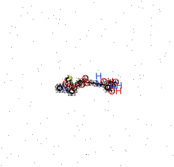 [CH2]C(=O)c1sccc1OC(=O)N(Cc1cccc(OCc2ccc(C(=O)OCCCCNC[C@H](O)c3ccc(O)c4[nH]c(=O)ccc34)o2)c1)c1ccccc1